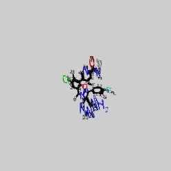 CCOc1c(C(C)n2nc(-c3ccc(F)cc3)c3c(N)ncnc32)cc(Cl)c(C)c1-c1ccc(C(=O)N(C)C)nc1